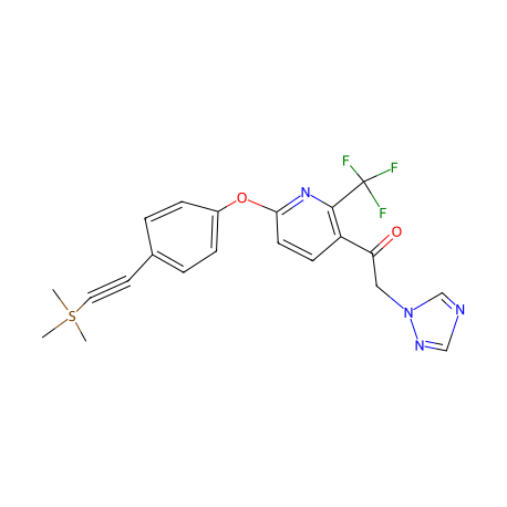 CS(C)(C)C#Cc1ccc(Oc2ccc(C(=O)Cn3cncn3)c(C(F)(F)F)n2)cc1